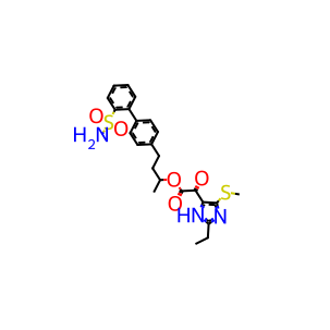 CCc1nc(SC)c(C(=O)C(=O)OC(C)CCc2ccc(-c3ccccc3S(N)(=O)=O)cc2)[nH]1